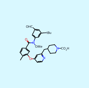 CON(C(=O)c1ccc(C)c(Oc2ccnc(CC3CCN(C(=O)O)CC3)c2)c1)c1cc(C=O)cc(C(C)(C)C)c1